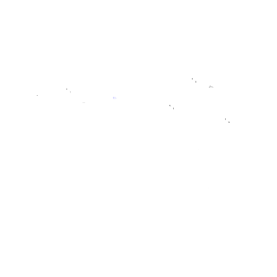 CC(=O)ONC(=O)/C=C/c1ccc(N[C@@H]2CCN(Cc3cccc(C)c3C)C2)nc1